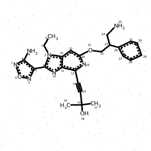 CCn1c(-c2nonc2N)nc2c(C#CC(C)(C)O)nc(OCC(CN)c3ccccc3)cc21